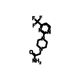 NC(=O)CN1CCN(c2nccc(C(F)(F)F)n2)CC1